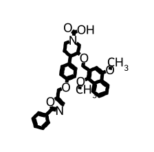 COc1cc(COC2CN(C(=O)O)CCC2c2ccc(OCc3cnc(-c4ccccc4)o3)cc2)c(OC)c2ccccc12